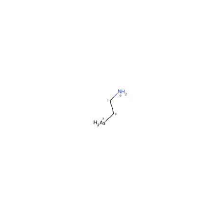 NCC[AsH2]